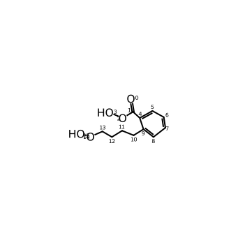 O=C(OO)c1ccccc1CCCCOO